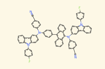 N#Cc1ccc(N(c2ccc(-c3c4ccccc4c(N(c4ccc(C#N)cc4)c4ccc5c(c4)c4ccccc4n5-c4ccc(F)cc4)c4ccccc34)cc2)c2ccc3c(c2)c2ccccc2n3-c2ccc(F)cc2)cc1